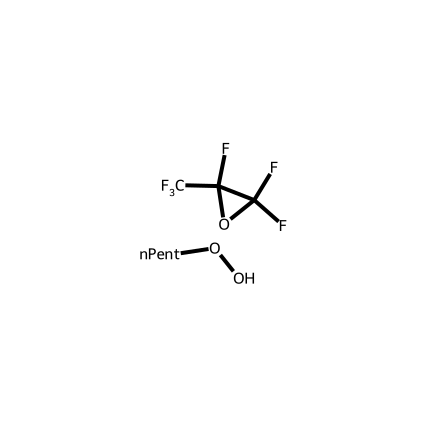 CCCCCOO.FC(F)(F)C1(F)OC1(F)F